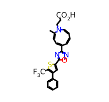 Cc1ccc(-c2noc(-c3cc(-c4ccccc4)c(C(F)(F)F)s3)n2)ccccn1CCC(=O)O